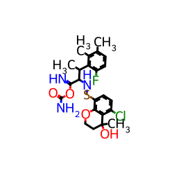 Cc1ccc(F)c(C(C)C(NSc2ccc(Cl)c3c2OCCC3(C)O)C(=N)OC(N)=O)c1C